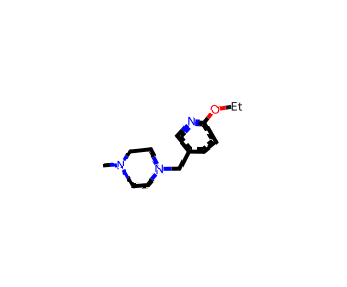 CCOc1ccc(CN2CCN(C)CC2)cn1